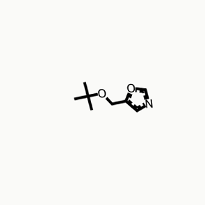 CC(C)(C)OCc1cnco1